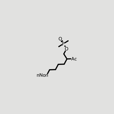 CCCCCCCCCCCCCC(COP(C)(C)=O)C(C)=O